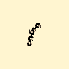 c1cncc(-c2cc3ncc(-c4ccc(N5CCCC5)nc4)cc3s2)c1